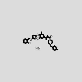 Br.CC(C(=O)N1CCN(Cc2ccc(C)cc2)CC1)=C(C)c1cc(C)c(Oc2ccc(OCc3ccccc3Cl)cn2)c(Cl)c1